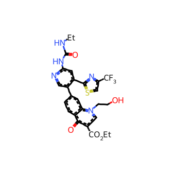 CCNC(=O)Nc1cc(-c2nc(C(F)(F)F)cs2)c(-c2ccc3c(=O)c(C(=O)OCC)cn(CCO)c3c2)cn1